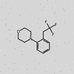 FC(F)(F)Cc1ccccc1N1CCOCC1